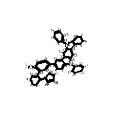 Oc1ccc(-c2ccc3c(c2)c2cc4c(cc2n3-c2ccccc2)c2ccccc2n4-c2ccccc2)cc1-c1ccccc1C1C=CC=C1